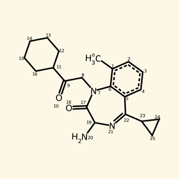 Cc1cccc2c1N(CC(=O)C1CCCCC1)C(=O)C(N)N=C2C1CC1